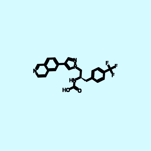 O=C(O)N[C@@H](Cc1ccc(C(F)(F)F)cc1)Cn1cc(-c2ccc3cnccc3c2)cn1